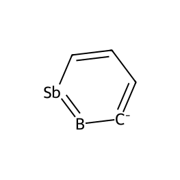 [B]1=[Sb][CH]=CC=[C-]1